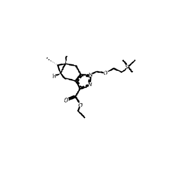 CCOC(=O)c1nn(COCC[Si](C)(C)C)c2c1C[C@@H]1[C@H](C)[C@]1(C)C2